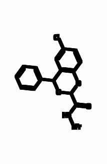 CCCNC(=O)C1Oc2ccc(Cl)cc2C(c2ccccc2)O1